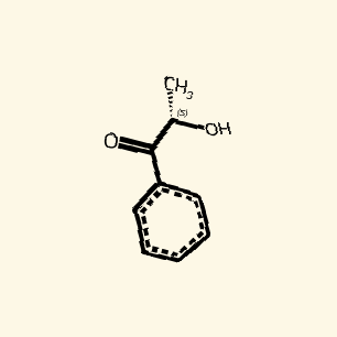 C[C@H](O)C(=O)c1ccccc1